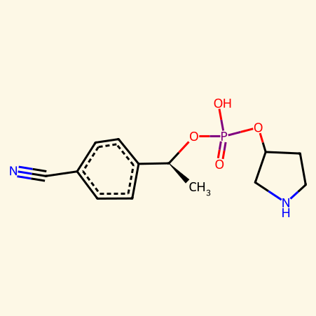 C[C@H](OP(=O)(O)OC1CCNC1)c1ccc(C#N)cc1